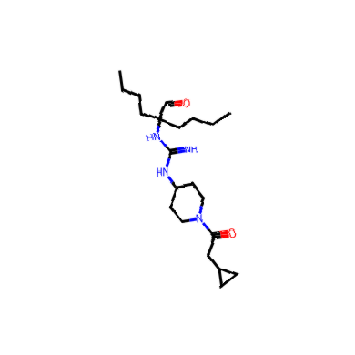 CCCCC(C=O)(CCCC)NC(=N)NC1CCN(C(=O)CC2CC2)CC1